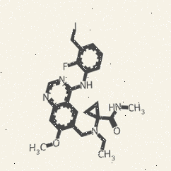 CCN(Cc1cc2c(Nc3cccc(CI)c3F)ncnc2cc1OC)C1(C(=O)NC)CC1